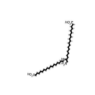 NCC(CCCCCCCCCCCCCCCCCC(=O)O)NCCCCCCCCCCCCCCCCCC(=O)O